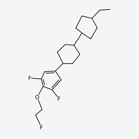 CCC1CCC(C2CCC(c3cc(F)c(OCCF)c(F)c3)CC2)CC1